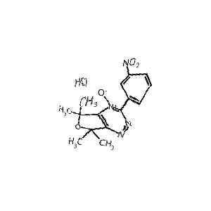 CC1(C)OC(C)(C)c2c1nnc(-c1cccc([N+](=O)[O-])c1)[n+]2[O-].Cl